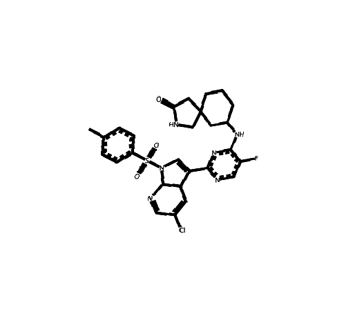 Cc1ccc(S(=O)(=O)N2C=C(c3ncc(F)c(NC4CCCC5(CNC(=O)C5)C4)n3)C3C=C(Cl)C=NC32)cc1